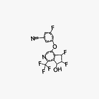 N#Cc1cc(F)cc(Oc2cnc(C(F)(F)F)c3c2C(F)C(F)C3O)c1